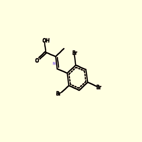 C/C(=C\c1c(Br)cc(Br)cc1Br)C(=O)O